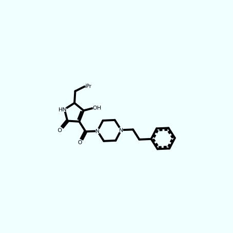 CC(C)CC1NC(=O)C(C(=O)N2CCN(CCc3ccccc3)CC2)=C1O